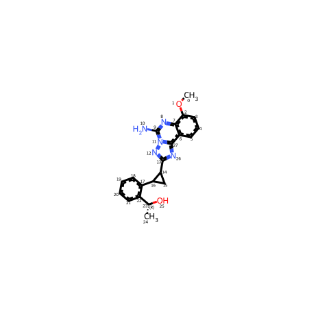 COc1cccc2c1nc(N)n1nc(C3CC3c3ccccc3[C@@H](C)O)nc21